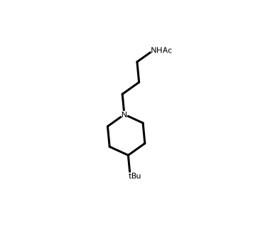 CC(=O)NCCCN1CCC(C(C)(C)C)CC1